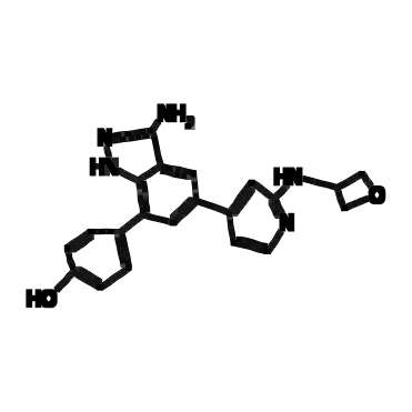 Nc1n[nH]c2c(-c3ccc(O)cc3)cc(-c3ccnc(NC4COC4)c3)cc12